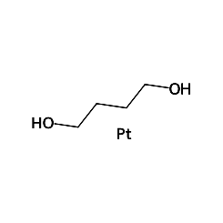 OCCCCO.[Pt]